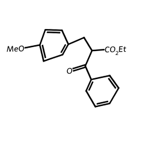 CCOC(=O)C(Cc1ccc(OC)cc1)C(=O)c1ccccc1